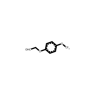 O=CCOc1ccc(OC(F)(F)F)cc1